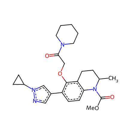 COC(=O)N1c2ccc(-c3cnn(C4CC4)c3)c(OCC(=O)N3CCCCC3)c2CCC1C